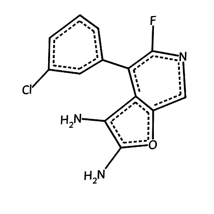 Nc1oc2cnc(F)c(-c3cccc(Cl)c3)c2c1N